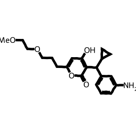 COCCOCCCc1cc(O)c(C(c2cccc(N)c2)C2CC2)c(=O)o1